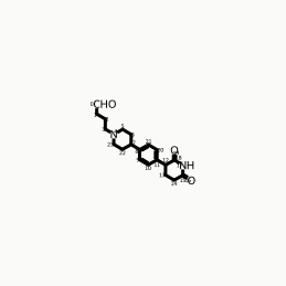 O=CCCCN1CCC(c2ccc(C3CCC(=O)NC3=O)cc2)CC1